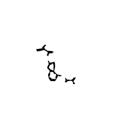 C=C(C)C(=O)Oc1ccc2c(OC(=O)C(=C)C)cccc2c1